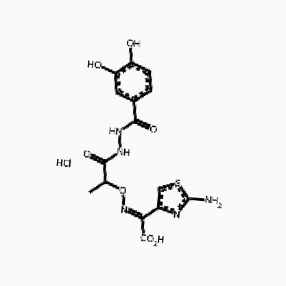 CC(ON=C(C(=O)O)c1csc(N)n1)C(=O)NNC(=O)c1ccc(O)c(O)c1.Cl